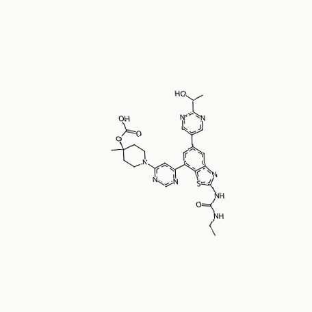 CCNC(=O)Nc1nc2cc(-c3cnc(C(C)O)nc3)cc(-c3cc(N4CCC(C)(OC(=O)O)CC4)ncn3)c2s1